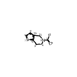 O=C(I)N1CCc2sccc2C1